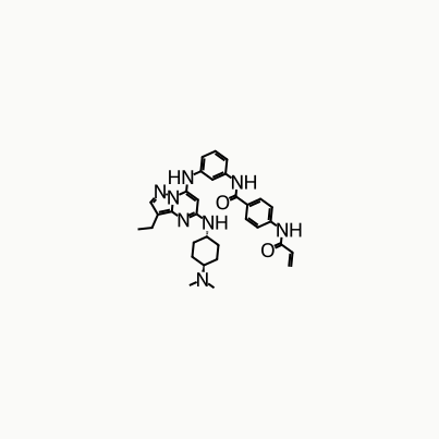 C=CC(=O)Nc1ccc(C(=O)Nc2cccc(Nc3cc(N[C@H]4CC[C@H](N(C)C)CC4)nc4c(CC)cnn34)c2)cc1